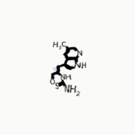 Cc1cnc2[nH]cc(/C=C(/C=O)NC(N)=S)c2c1